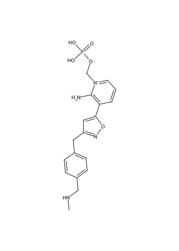 CNCc1ccc(Cc2cc(-c3ccc[n+](COP(=O)(O)O)c3N)on2)cc1